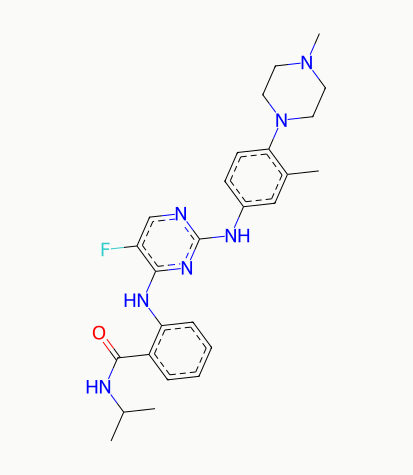 Cc1cc(Nc2ncc(F)c(Nc3ccccc3C(=O)NC(C)C)n2)ccc1N1CCN(C)CC1